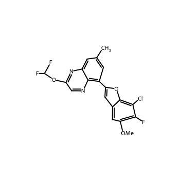 COc1cc2cc(-c3cc(C)cc4nc(OC(F)F)cnc34)oc2c(Cl)c1F